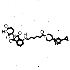 O=C1CCC(N2C(=O)c3cccc(NCCCCCC(=O)N4CCC(n5cc(C6CC6)cn5)CC4)c3C2=O)C(=O)N1